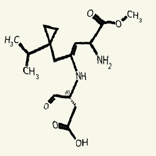 COC(=O)C(N)C=C(CC1(C(C)C)CC1)N[C@@H](C=O)CC(=O)O